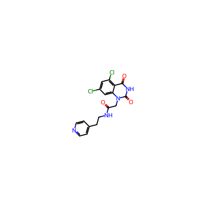 O=C(Cn1c(=O)[nH]c(=O)c2c(Cl)cc(Cl)cc21)NCCc1ccncc1